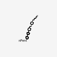 CCCCCc1ccc(-c2ccc(C3CCC(CC[C@H]4CC[C@H](CCCCCF)CC4)CC3)cc2)cc1